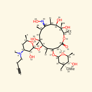 C#CCCN(C)[C@H]1C[C@@H](C)OC(O[C@@H]2C(C)C(OC3C[C@@](C)(OC)[C@@H](O)[C@H](C)O3)[C@@H](C)C(=O)O[C@H](CC)[C@@](C)(O)[C@H](O)C(C)/C(=N/O)[C@H](C)C[C@@]2(C)O)[C@@H]1O